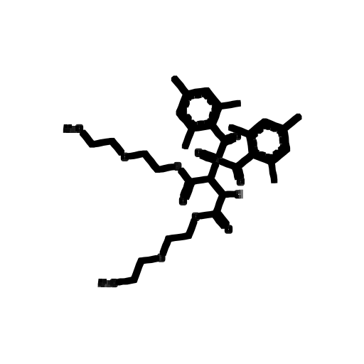 COCCOCCOC(=O)C(Cl)C(C(=O)OCCOCCOC)P(=O)(C(=O)c1c(C)cc(C)cc1C)C(=O)c1c(C)cc(C)cc1C